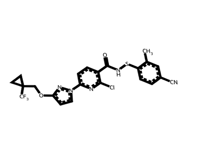 Cc1cc(C#N)ccc1SNC(=O)c1ccc(-n2ccc(OCC3(C(F)(F)F)CC3)n2)nc1Cl